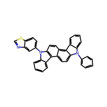 c1ccc(-n2c3ccccc3c3c4ccc5c(c4ccc32)c2ccccc2n5-c2ccc3scnc3c2)cc1